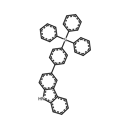 c1ccc([Si](c2ccccc2)(c2ccccc2)c2ccc(-c3ccc4[nH]c5ccccc5c4c3)cc2)cc1